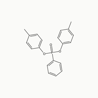 Cc1ccc(OP(=O)(Oc2ccc(C)cc2)c2ccccc2)cc1